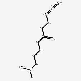 C[S+]([O-])CCCCC(=O)CCN=C=S